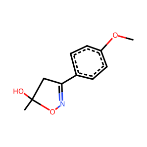 COc1ccc(C2=NOC(C)(O)C2)cc1